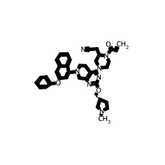 C=CC(=O)N1CCN(c2nc(OC[C@@H]3CCN(C)C3)nc3c2CCN(c2cc(Oc4ccccc4)cc4ccccc24)C3)CC1CC#N